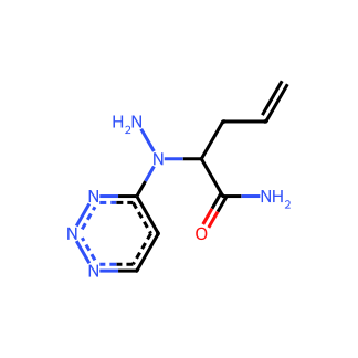 C=CCC(C(N)=O)N(N)c1ccnnn1